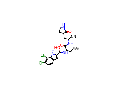 CC(C)(C)CC(NC(O)c1cc2ccc(Cl)c(Cl)c2[nH]1)C(=O)NC(C#N)CC1CCNC1=O